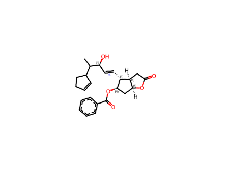 CC(C1C=CCC1)[C@@H](O)/C=C/[C@@H]1[C@H]2CC(=O)O[C@H]2C[C@H]1OC(=O)c1ccccc1